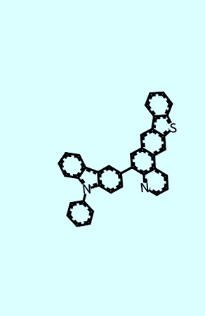 c1ccc(-n2c3ccccc3c3cc(-c4cc5cc6c(cc5c5cccnc45)sc4ccccc46)ccc32)cc1